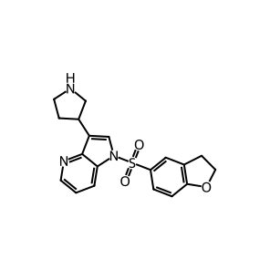 O=S(=O)(c1ccc2c(c1)CCO2)n1cc(C2CCNC2)c2ncccc21